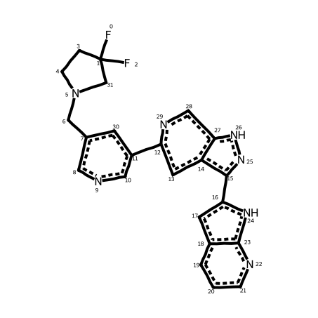 FC1(F)CCN(Cc2cncc(-c3cc4c(-c5cc6cccnc6[nH]5)n[nH]c4cn3)c2)C1